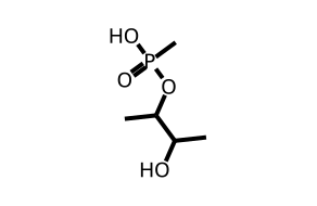 CC(O)C(C)OP(C)(=O)O